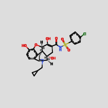 O=C(NS(=O)(=O)c1ccc(Cl)cc1)C1=C(O)[C@@H]2Oc3c(O)ccc4c3[C@@]23CCN(CC2CC2)[C@H](C4)[C@]3(O)C1